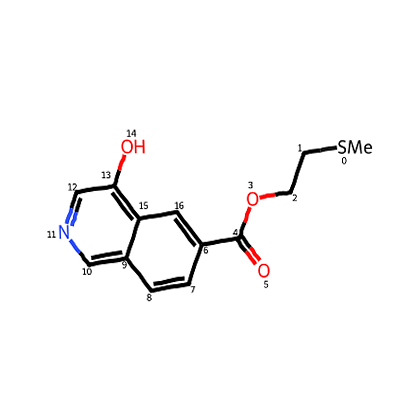 CSCCOC(=O)c1ccc2cncc(O)c2c1